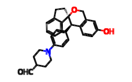 O=CC1CCN(c2ccc([C@@H]3c4ccc(O)cc4CO[C@@]34CCc3ccccc34)cc2)CC1